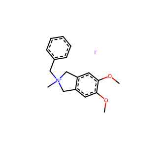 COc1cc2c(cc1OC)C[N+](C)(Cc1ccccc1)C2.[I-]